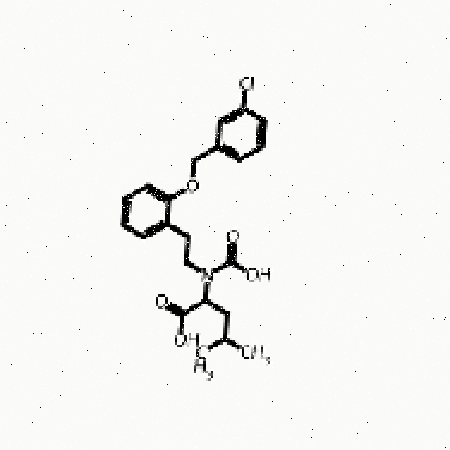 CC(C)CC(C(=O)O)N(CCc1ccccc1OCc1cccc(Cl)c1)C(=O)O